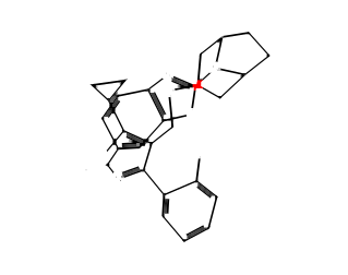 Cc1ccccc1-c1noc(C2CC2)c1COC1CC2CCC(C1)N2c1nc2ccc(C(=O)O)cc2s1